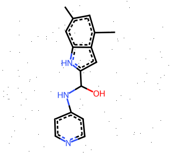 Cc1cc(C)c2cc(C(O)Nc3ccncc3)[nH]c2c1